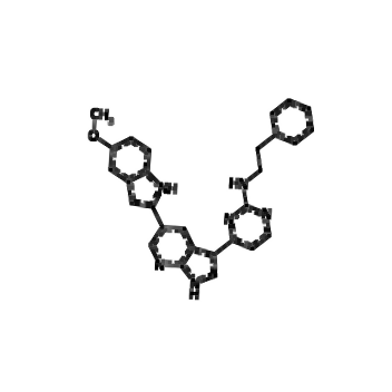 COc1ccc2[nH]c(-c3cnc4[nH]cc(-c5ccnc(NCCc6ccccc6)n5)c4c3)cc2c1